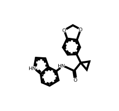 O=C(Nc1cccc2[nH]ccc12)C1(c2ccc3c(c2)OCO3)CC1